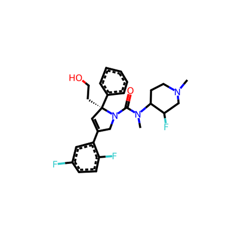 CN1CCC(N(C)C(=O)N2CC(c3cc(F)ccc3F)=C[C@@]2(CCO)c2ccccc2)C(F)C1